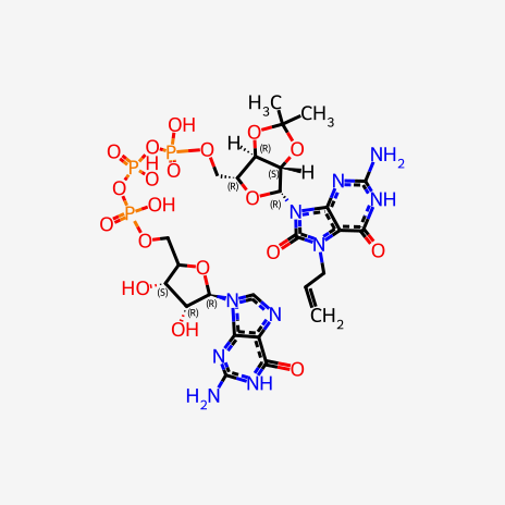 C=CCn1c(=O)n([C@@H]2O[C@H](COP(=O)(O)OP(=O)(O)OP(=O)(O)OCC3O[C@@H](n4cnc5c(=O)[nH]c(N)nc54)[C@H](O)[C@@H]3O)[C@H]3OC(C)(C)O[C@@H]32)c2nc(N)[nH]c(=O)c21